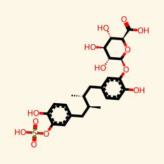 C[C@H](Cc1ccc(O)c(O[C@@H]2O[C@H](C(=O)O)[C@@H](O)[C@H](O)[C@H]2O)c1)[C@@H](C)Cc1ccc(O)c(OS(=O)(=O)O)c1